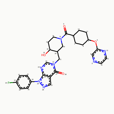 O=C(C1CCC(Oc2cnccn2)CC1)N1CCC(O)C(Cn2cnc3c(cnn3-c3ccc(F)cc3)c2=O)C1